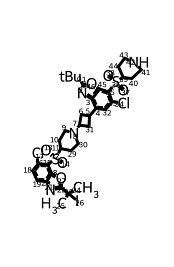 CC(C)(C)c1nc2c(C3CC(N4CCC(S(=O)(=O)c5c(Cl)ccc6nc(C(C)(C)I)oc56)CC4)C3)cc(Cl)c(S(=O)(=O)C3CCNCC3)c2o1